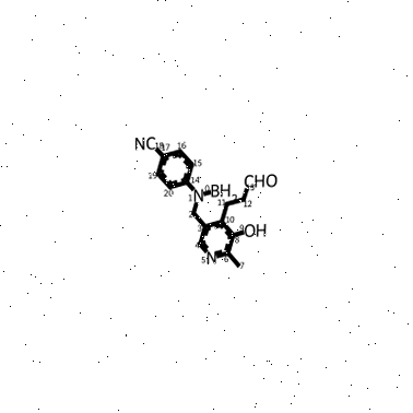 BN(Cc1cnc(C)c(O)c1CCC=O)c1ccc(C#N)cc1